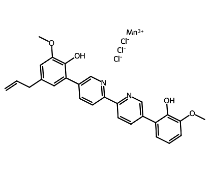 C=CCc1cc(OC)c(O)c(-c2ccc(-c3ccc(-c4cccc(OC)c4O)cn3)nc2)c1.[Cl-].[Cl-].[Cl-].[Mn+3]